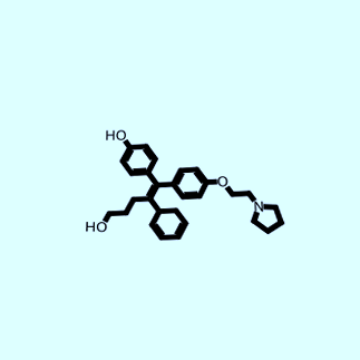 OCCC/C(=C(\c1ccc(O)cc1)c1ccc(OCCN2CCCC2)cc1)C1C=CC=CC1